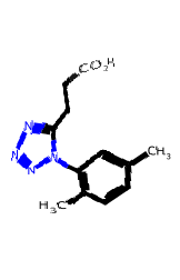 Cc1ccc(C)c(-n2nnnc2CCC(=O)O)c1